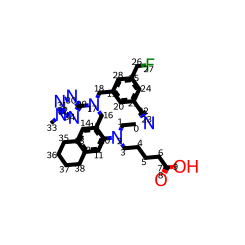 CCN(CCCCC(=O)O)c1cc2c(cc1CN(Cc1cc(C#N)cc(CF)c1)c1nnn(C)n1)CCCC2